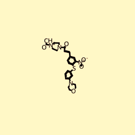 CC(=O)N1CCN(C(=O)C=Cc2ccc(Sc3cccc(N4CCOCC4)c3)c([N+](=O)[O-])c2)CC1